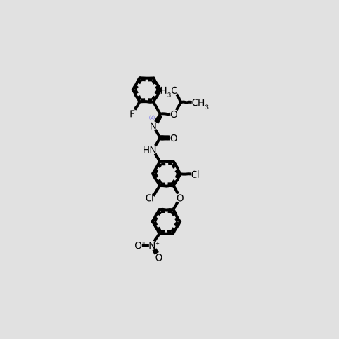 CC(C)O/C(=N\C(=O)Nc1cc(Cl)c(Oc2ccc([N+](=O)[O-])cc2)c(Cl)c1)c1ccccc1F